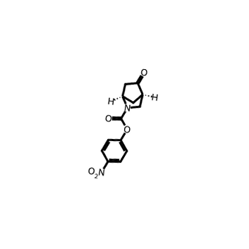 O=C1C[C@H]2C[C@@H]1CN2C(=O)Oc1ccc([N+](=O)[O-])cc1